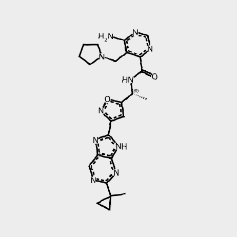 C[C@@H](NC(=O)c1ncnc(N)c1CN1CCCC1)c1cc(-c2nc3cnc(C4(C)CC4)nc3[nH]2)no1